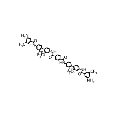 Nc1cc(C(=O)Nc2ccc(-c3ccc(NC(=O)c4ccc(C(=O)Nc5ccc(-c6ccc(NC(=O)c7cc(N)cc(C(F)(F)F)c7)cc6C(F)(F)F)c(C(F)(F)F)c5)cc4)cc3C(F)(F)F)c(C(F)(F)F)c2)cc(C(F)(F)F)c1